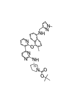 Cc1ccc2c(NCc3ccn(C)n3)cccc2c1Oc1ncccc1-c1ccnc(N[C@H]2CCCN(C(=O)OC(C)(C)C)C2)n1